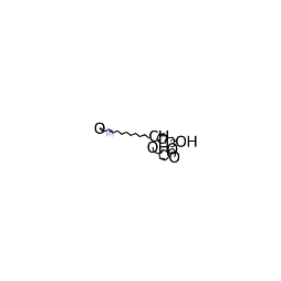 CCCCCCCCC/C=C/C=O.OCCc1ccccc1.OCc1ccc2c(c1)OCO2